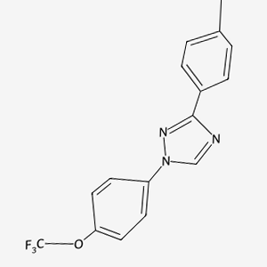 CCC(C)c1ccc(-c2ncn(-c3ccc(OC(F)(F)F)cc3)n2)cc1